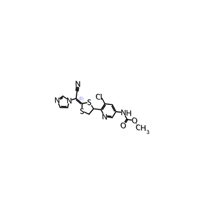 COC(=O)Nc1cnc(C2CS/C(=C(/C#N)n3ccnc3)S2)c(Cl)c1